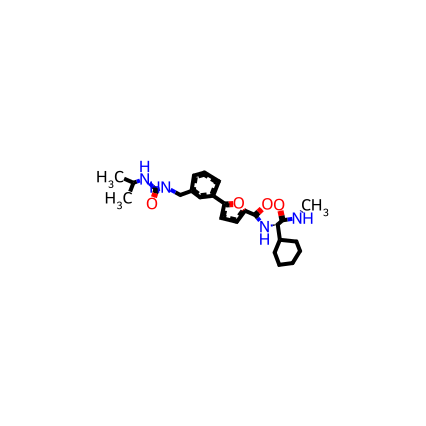 CNC(=O)[C@@H](NC(=O)c1ccc(-c2cccc(CNC(=O)NC(C)C)c2)o1)C1CCCCC1